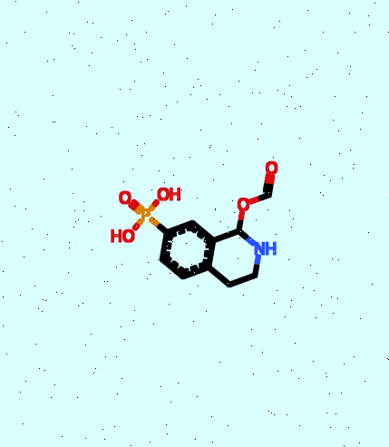 O=COC1NCCc2ccc(P(=O)(O)O)cc21